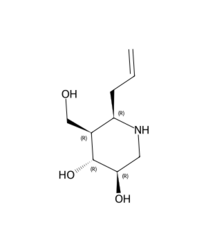 C=CC[C@H]1NC[C@@H](O)[C@H](O)[C@H]1CO